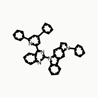 c1ccc(-c2cc(-c3ccccc3)nc(-c3nc(-n4c5ccccc5c5cc6c(ccn6-c6ccccc6)cc54)nc4ccccc34)c2)cc1